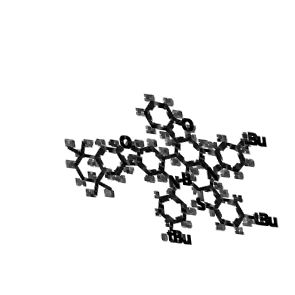 CC(C)(C)c1ccc(N2B3c4sc5ccc(C(C)(C)C)cc5c4-n4c5ccc(C(C)(C)C)cc5c5c6oc7ccccc7c6c(c3c54)-c3cc4oc5cc6c(cc5c4cc32)C(C)(C)CCC6(C)C)cc1